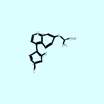 CCOC(=O)[C@@H](C)Oc1ccc2c(-c3ccc(F)cc3Cl)ccnc2c1